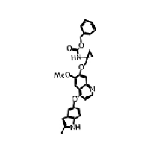 COc1cc2c(Oc3ccc4[nH]c(C)cc4c3)ccnc2cc1OCC1(NC(=O)OCc2ccccc2)CC1